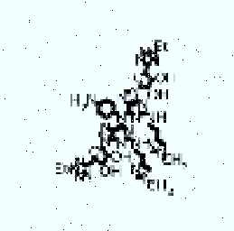 CCn1nnc(C2OC(n3cnc4c(N(c5nc(NCCc6cn(C)cn6)nc6c5ncn6C5OC(c6nnn(CC)n6)C(O)C5O)C5CCC(N)CC5)nc(NCCc5cn(C)cn5)nc43)C(O)C2O)n1